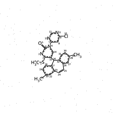 CSc1nc(=O)n(-c2cc(Cl)ncn2)cc1C1c2ccc(C)cc2C=Cc2cc(C)ccc21